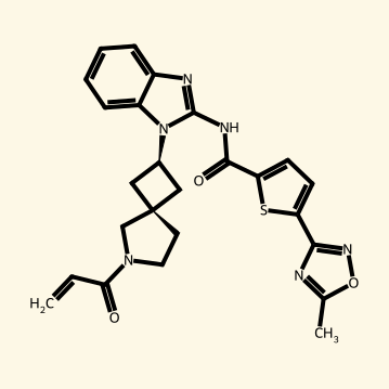 C=CC(=O)N1CC[C@]2(C1)C[C@H](n1c(NC(=O)c3ccc(-c4noc(C)n4)s3)nc3ccccc31)C2